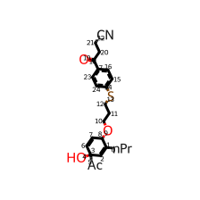 CCCC1=CC(O)(C(C)=O)C=CC1OCCCSc1ccc(C(=O)CCC#N)cc1